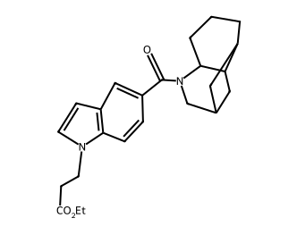 CCOC(=O)CCn1ccc2cc(C(=O)N3CC4CC5CCCC3C5C4)ccc21